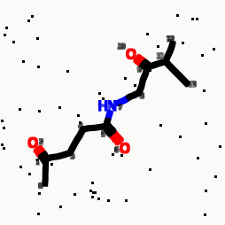 CC(=O)CCC(=O)NCC(=O)C(C)C